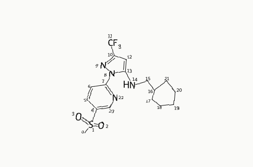 CS(=O)(=O)c1ccc(-n2nc(C(F)(F)F)cc2NCC2CCCCC2)nc1